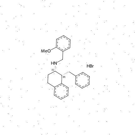 Br.COc1ccccc1CN[C@H]1CCc2ccccc2[C@H]1Cc1ccccc1